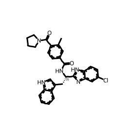 Cc1cc(C(=O)N[C@@H](Cc2c[nH]c3ccccc23)c2nc3cc(Cl)ccc3[nH]2)ccc1C(=O)N1CCCC1